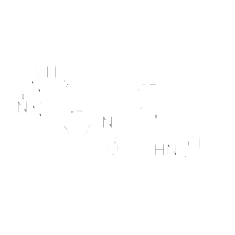 Cn1cnnc1[C@H](c1cccc(N2Cc3c(cc(CNC4(C)CCC4)cc3C(F)(F)F)C2=O)c1)C1CCCCC1